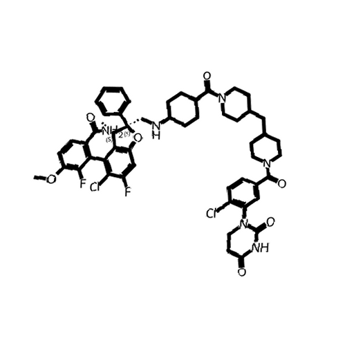 COc1ccc(C(N)=O)c(-c2c(Cl)c(F)cc3c2[C@H](C)[C@@](CNC2CCC(C(=O)N4CCC(CC5CCN(C(=O)c6ccc(Cl)c(N7CCC(=O)NC7=O)c6)CC5)CC4)CC2)(c2ccccc2)O3)c1F